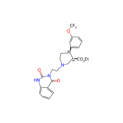 CCOC(=O)[C@H]1CN(CCn2c(=O)[nH]c3ccccc3c2=O)CC[C@H]1c1cccc(OC(F)(F)F)c1